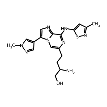 Cc1cc(Nc2nc(CCC(N)CO)cn3c(-c4cnn(C)c4)cnc23)sn1